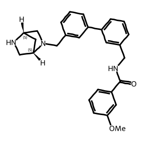 COc1cccc(C(=O)NCc2cccc(-c3cccc(CN4C[C@@H]5C[C@H]4CN5)c3)c2)c1